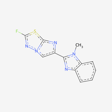 Cn1c(-c2cn3nc(F)sc3n2)nc2ccccc21